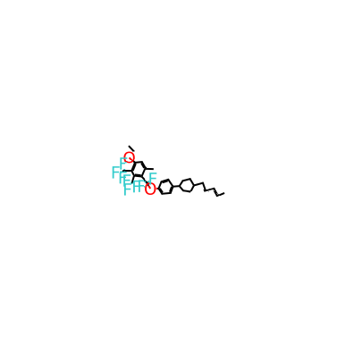 CCCCCC1CCC(c2ccc(OC(F)(F)c3c(C)cc(OCC)c(C(F)(F)F)c3C(F)(F)F)cc2)CC1